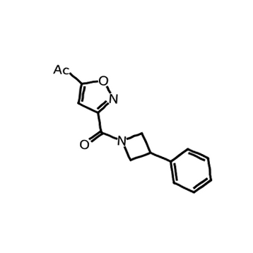 CC(=O)c1cc(C(=O)N2CC(c3ccccc3)C2)no1